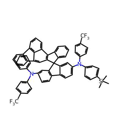 C[Si](C)(C)c1ccc(N(c2ccc(C(F)(F)F)cc2)c2ccc3c(c2)C2(c4cc(N(c5ccccc5)c5ccc(C(F)(F)F)cc5)ccc4-3)c3ccccc3-c3c2cc2c4c(cccc34)C3=C2C=C=C=C3)cc1